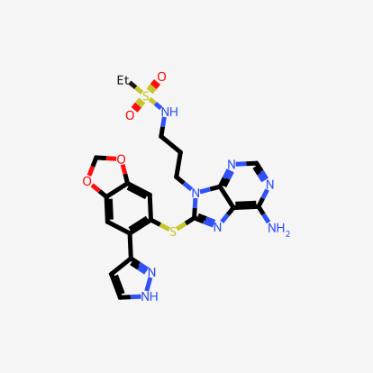 CCS(=O)(=O)NCCCn1c(Sc2cc3c(cc2-c2cc[nH]n2)OCO3)nc2c(N)ncnc21